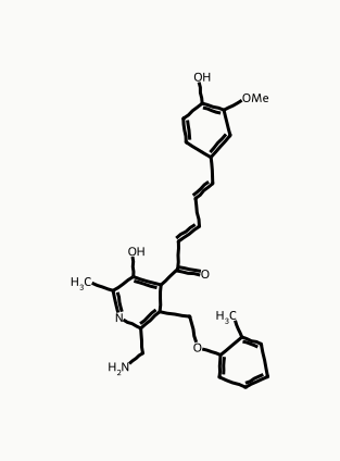 COc1cc(C=CC=CC(=O)c2c(O)c(C)nc(CN)c2COc2ccccc2C)ccc1O